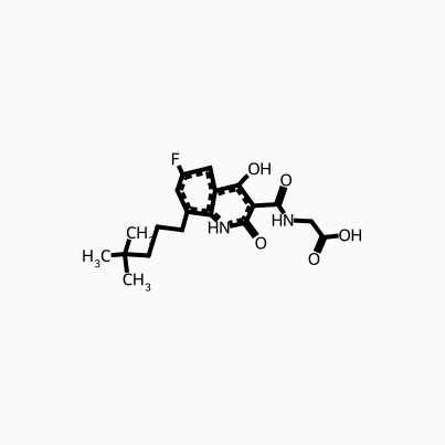 CC(C)(C)CCCc1cc(F)cc2c(O)c(C(=O)NCC(=O)O)c(=O)[nH]c12